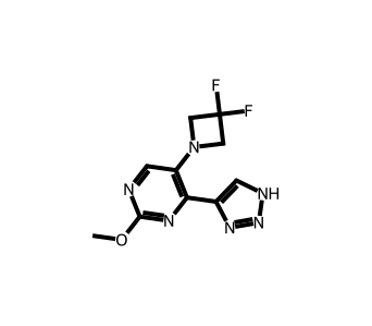 COc1ncc(N2CC(F)(F)C2)c(-c2c[nH]nn2)n1